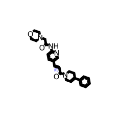 O=C(CN1CCOCC1)Nc1ccc(/C=C/C(=O)N2CC=C(c3ccccc3)CC2)cn1